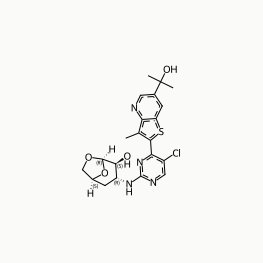 Cc1c(-c2nc(N[C@@H]3C[C@H]4CO[C@H](O4)[C@H]3O)ncc2Cl)sc2cc(C(C)(C)O)cnc12